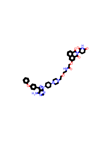 Nc1ncnc2c1c(-c1ccc(Oc3ccccc3)cc1)nn2[C@H]1CC[C@H](N2CCN(CCOCCNC(=O)COc3cc4c5c(cccc5c3)C(=O)N(C3CCC(=O)NC3=O)C4=O)CC2)CC1